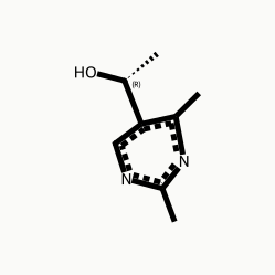 Cc1ncc([C@@H](C)O)c(C)n1